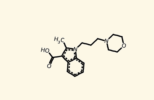 Cc1c(C(=O)O)c2ccccc2n1CCCN1CCOCC1